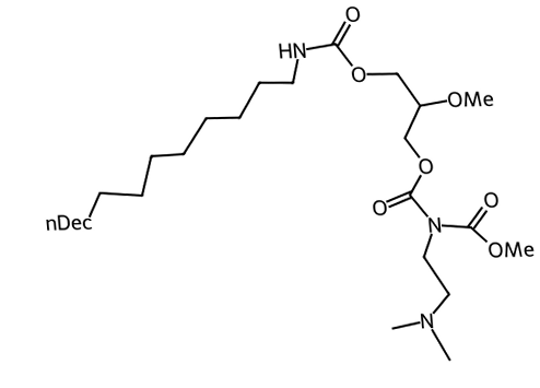 CCCCCCCCCCCCCCCCCCNC(=O)OCC(COC(=O)N(CCN(C)C)C(=O)OC)OC